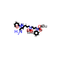 CC(C)(C)OC(=O)N(CCCc1cc(CN)n(C2CCCCO2)n1)CCCN(C(=O)OC(C)(C)C)C1CCCCC1